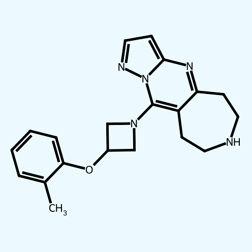 Cc1ccccc1OC1CN(c2c3c(nc4ccnn24)CCNCC3)C1